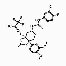 COc1ccc([C@@]23CC[C@@H](NC(=O)Nc4ccc(F)c(Cl)c4)C[C@@H]2CN(C)C3)cc1OC.O=C(O)C(F)(F)F